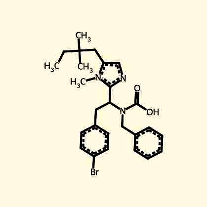 CCC(C)(C)Cc1cnc(C(Cc2ccc(Br)cc2)N(Cc2ccccc2)C(=O)O)n1C